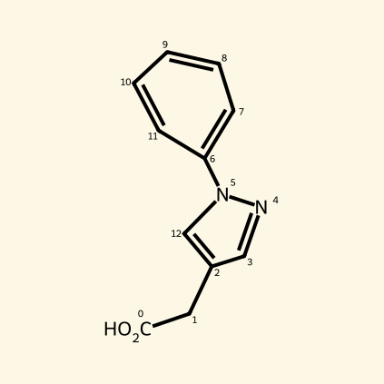 O=C(O)Cc1cnn(-c2ccccc2)c1